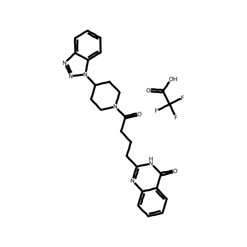 O=C(CCCc1nc2ccccc2c(=O)[nH]1)N1CCC(n2nnc3ccccc32)CC1.O=C(O)C(F)(F)F